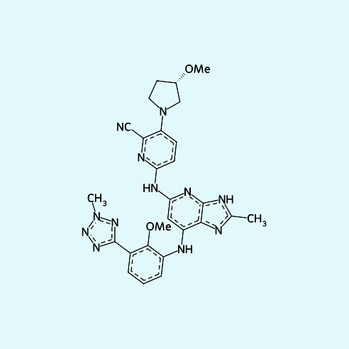 COc1c(Nc2cc(Nc3ccc(N4CC[C@H](OC)C4)c(C#N)n3)nc3[nH]c(C)nc23)cccc1-c1nnn(C)n1